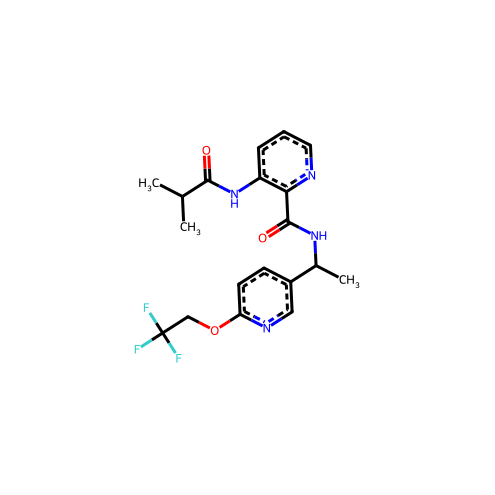 CC(C)C(=O)Nc1cccnc1C(=O)NC(C)c1ccc(OCC(F)(F)F)nc1